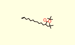 C=CCCCCCCCCCC(CC(C)(C)C)C(=O)OC(C)(C)C